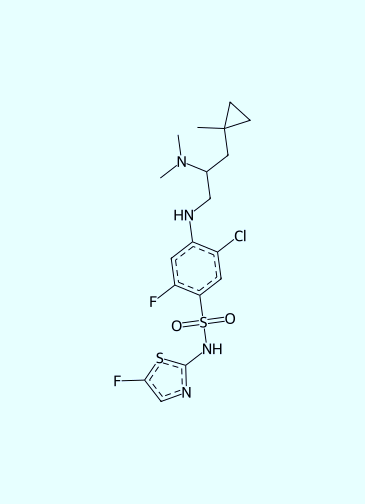 CN(C)C(CNc1cc(F)c(S(=O)(=O)Nc2ncc(F)s2)cc1Cl)CC1(C)CC1